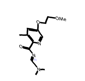 COCCOc1cnc(C(=O)/N=C/N(C)C)c(C)c1